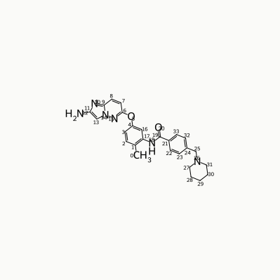 Cc1ccc(Oc2ccc3nc(N)cn3n2)cc1NC(=O)c1ccc(CN2CCCCC2)cc1